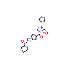 O=C(/C=C/c1ccc(C(=O)N2CCN(Cc3ccccc3)C23COC3)cc1)c1ccccn1